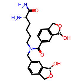 NC(=O)[C@@H](N)CCCCN(Cc1ccc2c(c1)B(O)OC2)C(=O)c1ccc2c(c1)B(O)OC2